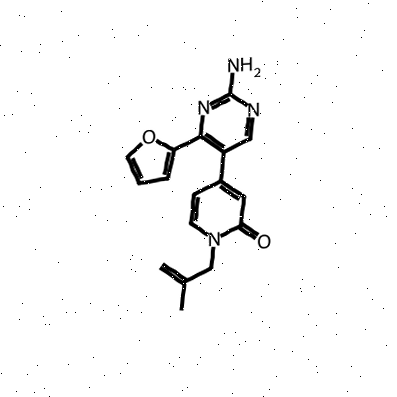 C=C(C)Cn1ccc(-c2cnc(N)nc2-c2ccco2)cc1=O